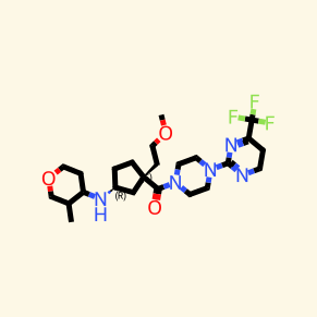 COCC[C@]1(C(=O)N2CCN(C3=NCCC(C(F)(F)F)=N3)CC2)CC[C@@H](NC2CCOCC2C)C1